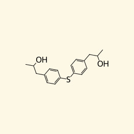 CC(O)Cc1ccc(Sc2ccc(CC(C)O)cc2)cc1